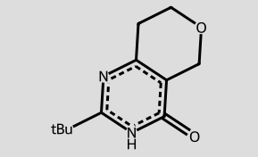 CC(C)(C)c1nc2c(c(=O)[nH]1)COCC2